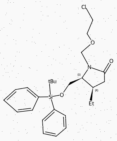 CC[C@@H]1CC(=O)N(COCCCl)[C@@H]1CO[Si](c1ccccc1)(c1ccccc1)C(C)(C)C